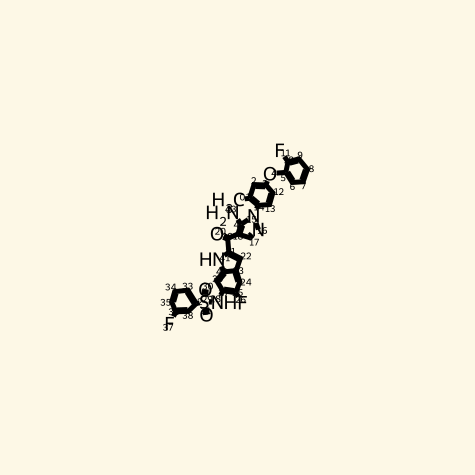 Cc1cc(Oc2ccccc2F)ccc1-n1ncc(C(=O)c2cc3cc(F)c(NS(=O)(=O)c4cccc(F)c4)cc3[nH]2)c1N